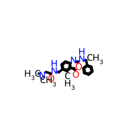 Cc1c(CNC(=O)CN(C)C)ccc2nc(N[C@@H](C)c3ccccc3)oc(=O)c12